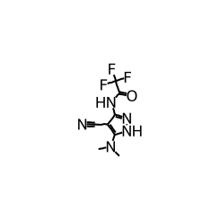 CN(C)c1[nH]nc(NC(=O)C(F)(F)F)c1C#N